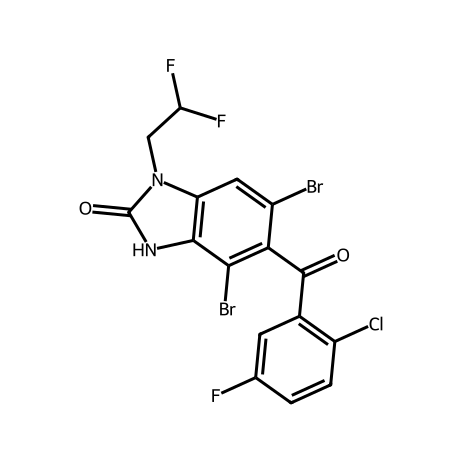 O=C(c1cc(F)ccc1Cl)c1c(Br)cc2c([nH]c(=O)n2CC(F)F)c1Br